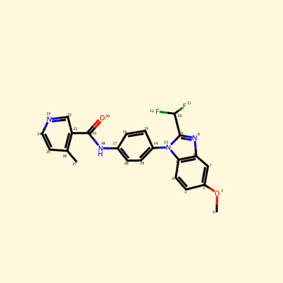 COc1ccc2c(c1)nc(C(F)F)n2-c1ccc(NC(=O)c2cnccc2C)cc1